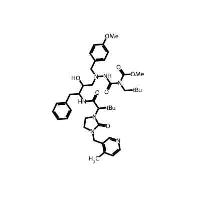 COC(=O)N(CC(C)(C)C)C(=O)NN(Cc1ccc(OC)cc1)CC(O)C(Cc1ccccc1)NC(=O)C(N1CCN(Cc2cnccc2C)C1=O)C(C)(C)C